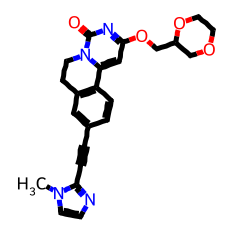 Cn1ccnc1C#Cc1ccc2c(c1)CCn1c-2cc(OCC2COCCO2)nc1=O